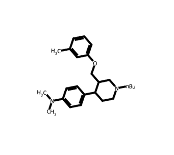 CCCCN1CCC(c2ccc(N(C)C)cc2)C(COc2cccc(C)c2)C1